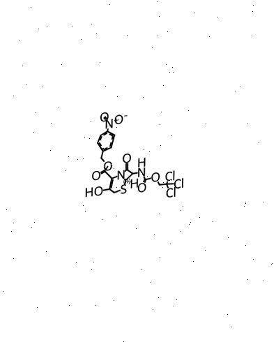 O=C(NC1C(=O)N2C(C(=O)OCc3ccc([N+](=O)[O-])cc3)=C(O)CS[C@H]12)OCC(Cl)(Cl)Cl